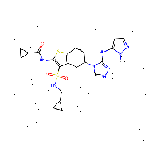 Cn1nccc1Nc1nncn1C1CCc2sc(NC(=O)C3CC3)c(S(=O)(=O)NCC3CC3)c2C1